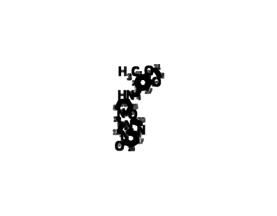 Cc1cc(CNC2CCN(C[C@@H]3Cn4c(=O)ccc5ncc(=O)n3c54)CC2)cc2c1OCCO2